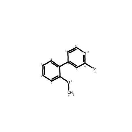 COc1ccccc1-c1[c]c(Br)ncc1